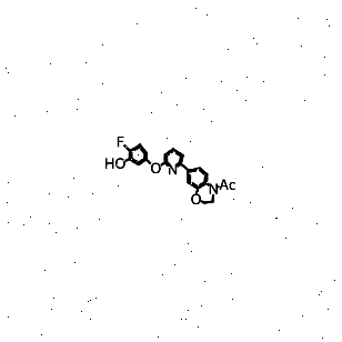 CC(=O)N1CCOc2cc(-c3cccc(Oc4ccc(F)c(O)c4)n3)ccc21